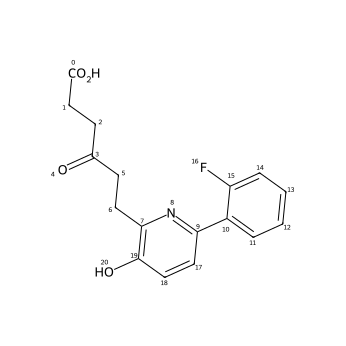 O=C(O)CCC(=O)CCc1nc(-c2ccccc2F)ccc1O